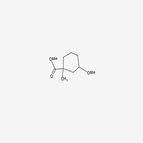 COC(=O)C1(C)CCCC(OC)C1